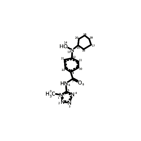 Cn1nnnc1NC(=O)c1ccc(N(O)C2CCCCC2)cc1